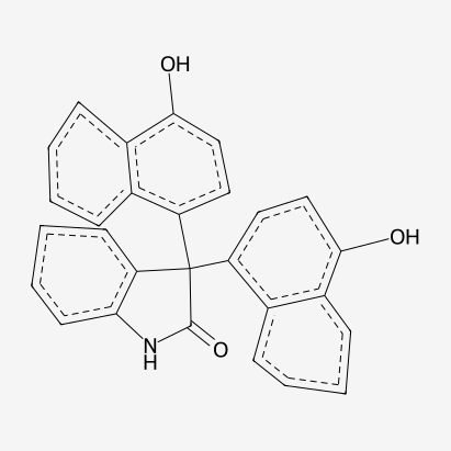 O=C1Nc2ccccc2C1(c1ccc(O)c2ccccc12)c1ccc(O)c2ccccc12